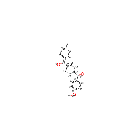 C=C(C)/C=C\C(=C/C)C(=O)c1ccc(C(=O)c2ccc(OC)cc2)cc1